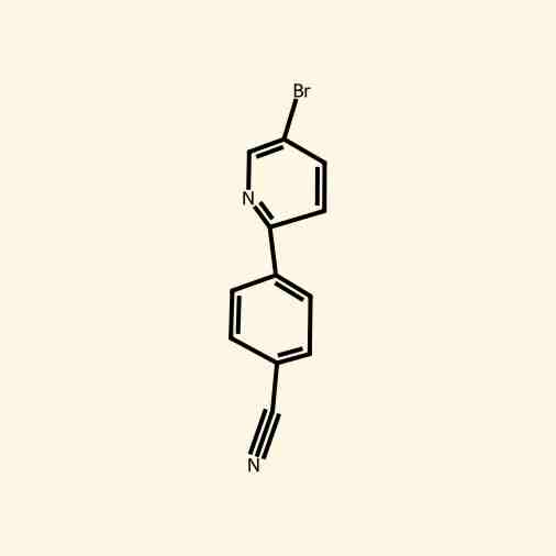 N#Cc1ccc(-c2ccc(Br)cn2)cc1